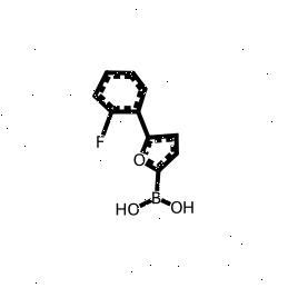 OB(O)c1ccc(-c2ccccc2F)o1